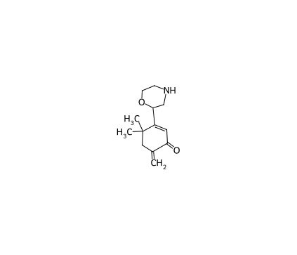 C=C1CC(C)(C)C(C2CNCCO2)=CC1=O